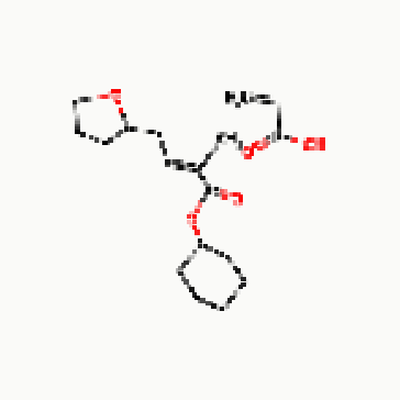 C=CC(=O)O.CC(=CCC1CCCO1)C(=O)OC1CCCCC1